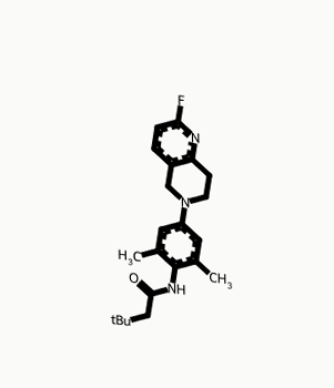 Cc1cc(N2CCc3nc(F)ccc3C2)cc(C)c1NC(=O)CC(C)(C)C